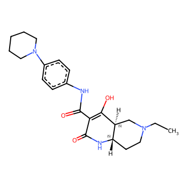 CCN1CC[C@@H]2NC(=O)C(C(=O)Nc3ccc(N4CCCCC4)cc3)=C(O)[C@H]2C1